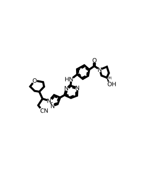 N#CCC(C1CCOCC1)n1cc(-c2ccnc(Nc3ccc(C(=O)N4CC[C@@H](O)C4)cc3)n2)cn1